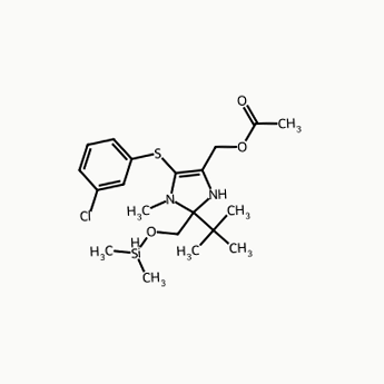 CC(=O)OCC1=C(Sc2cccc(Cl)c2)N(C)C(CO[SiH](C)C)(C(C)(C)C)N1